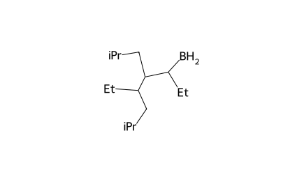 BC(CC)C(CC(C)C)C(CC)CC(C)C